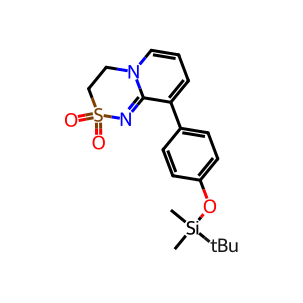 CC(C)(C)[Si](C)(C)Oc1ccc(C2=CC=CN3CCS(=O)(=O)N=C23)cc1